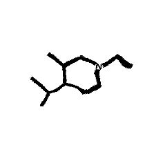 CCN1CCC(C(C)C)C(C)C1